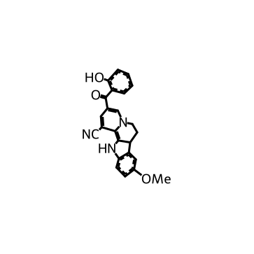 COc1ccc2c(c1)C1CCN3C=C(C(=O)c4ccccc4O)C=C(C#N)C3=C1N2